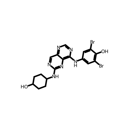 Oc1c(Br)cc(Nc2ncnc3cnc(NC4CCC(O)CC4)nc23)cc1Br